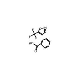 FC(F)(F)c1cnno1.O=C(O)c1ccccc1